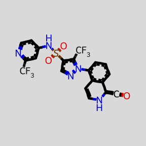 O=C=C1NC=Cc2c1cccc2-n1ncc(S(=O)(=O)Nc2ccnc(C(F)(F)F)c2)c1C(F)(F)F